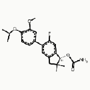 COc1cc(-c2cc3c(cc2F)[C@H](OC(N)=O)C(C)(C)C3)ccc1OC(C)C